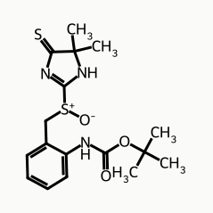 CC(C)(C)OC(=O)Nc1ccccc1C[S+]([O-])C1=NC(=S)C(C)(C)N1